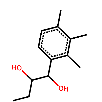 CCC(O)C(O)c1ccc(C)c(C)c1C